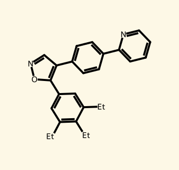 CCc1cc(-c2oncc2-c2ccc(-c3ccccn3)cc2)cc(CC)c1CC